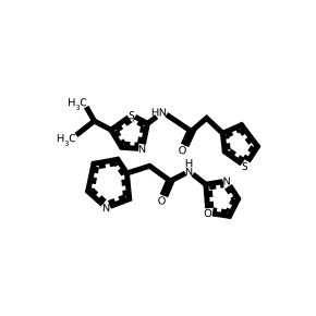 CC(C)c1cnc(NC(=O)Cc2ccsc2)s1.O=C(Cc1cccnc1)Nc1ncco1